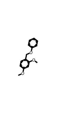 COc1ccc(COc2[c]cccc2)c(OC)c1